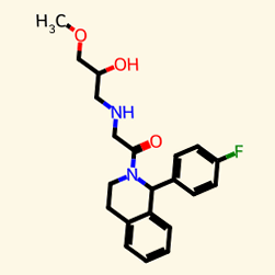 COCC(O)CNCC(=O)N1CCc2ccccc2C1c1ccc(F)cc1